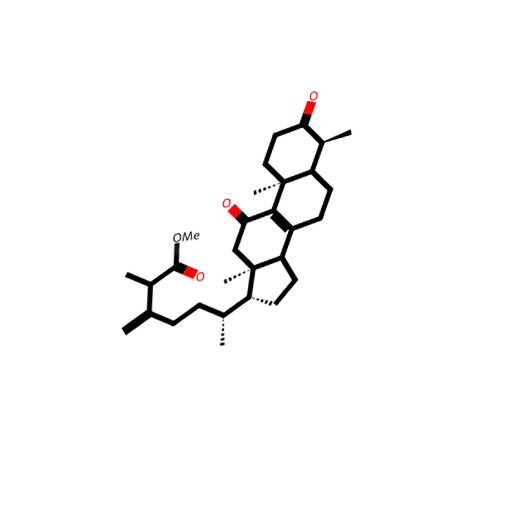 C=C(CC[C@@H](C)[C@H]1CCC2C3=C(C(=O)C[C@@]21C)[C@@]1(C)CCC(=O)[C@@H](C)C1CC3)C(C)C(=O)OC